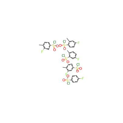 Cc1cc(F)ccc1S(=O)(=O)Cl.Cc1ccc(F)cc1S(=O)(=O)Cl.Cc1ccc(S(=O)(=O)Cl)cc1F.Cc1ccc(S(=O)(=O)Cl)cc1F.O=S(=O)(Cl)c1ccc(F)cc1